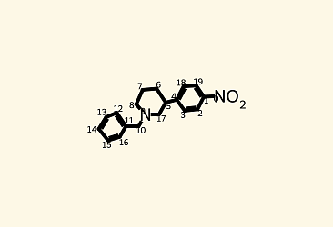 O=[N+]([O-])c1ccc(C2CCCN(Cc3ccccc3)C2)cc1